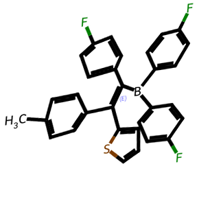 Cc1ccc(/C(=C(/B(c2ccc(F)cc2)c2ccc(F)cc2)c2ccc(F)cc2)c2cccs2)cc1